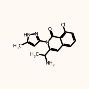 Cc1cc(-n2c(C(C)N)cc3cccc(Cl)c3c2=O)n[nH]1